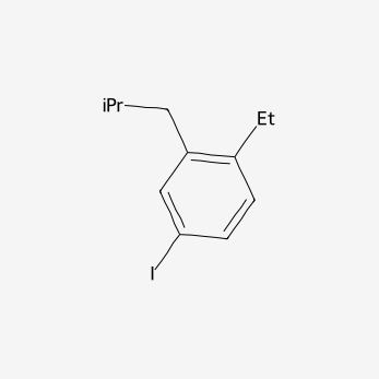 CCc1ccc(I)cc1CC(C)C